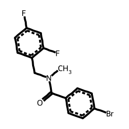 CN(Cc1ccc(F)cc1F)C(=O)c1ccc(Br)cc1